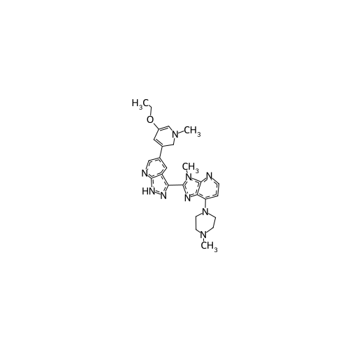 CCOC1=CN(C)CC(c2cnc3[nH]nc(-c4nc5c(N6CCN(C)CC6)ccnc5n4C)c3c2)=C1